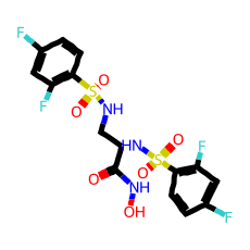 O=C(NO)C(CNS(=O)(=O)c1ccc(F)cc1F)NS(=O)(=O)c1ccc(F)cc1F